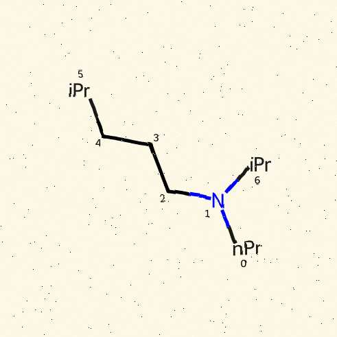 CCCN(CCCC(C)C)C(C)C